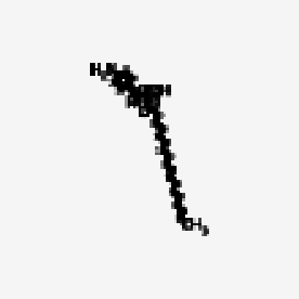 CCCCCCCCCCCCCCCCCC(=O)[O][Ti]([OH])([OH])[O]C(=O)c1ccc(N)cc1